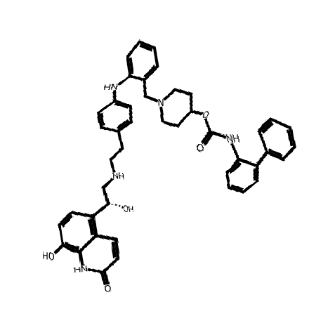 O=C(Nc1ccccc1-c1ccccc1)OC1CCN(Cc2ccccc2Nc2ccc(CCNC[C@H](O)c3ccc(O)c4[nH]c(=O)ccc34)cc2)CC1